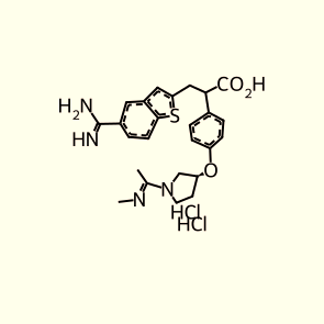 CN=C(C)N1CC[C@H](Oc2ccc(C(Cc3cc4cc(C(=N)N)ccc4s3)C(=O)O)cc2)C1.Cl.Cl